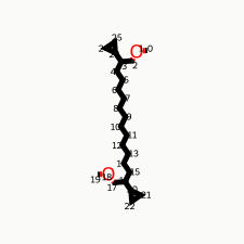 COCC(CCCCCCCCCCCCC(COC)C1CC1)C1CC1